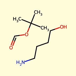 CC(C)(C)OC=O.NCCCCO